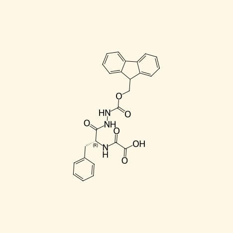 O=C(NNC(=O)[C@@H](Cc1ccccc1)NC(=O)C(=O)O)OCC1c2ccccc2-c2ccccc21